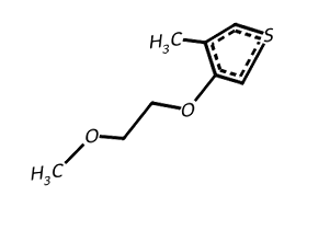 COCCOc1cscc1C